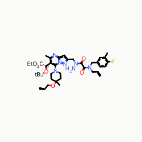 C=CCOC1(C)CCN(c2c([C@H](OC(C)(C)C)C(=O)OCC)c(C)nc3cc(CN(N)C(=O)C(=O)N(CC=C)Cc4ccc(F)c(C)c4)nn23)CC1